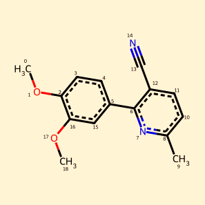 COc1ccc(-c2nc(C)ccc2C#N)cc1OC